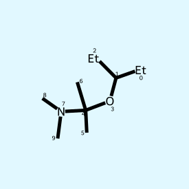 CCC(CC)OC(C)(C)N(C)C